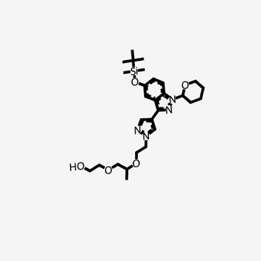 CC(COCCO)OCCn1cc(-c2nn(C3CCCCO3)c3ccc(O[Si](C)(C)C(C)(C)C)cc23)cn1